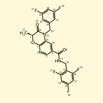 C[C@@H]1Oc2ncc(C(=O)NCc3c(F)cc(F)cc3F)cc2N(Cc2cc(F)cc(F)c2)C1=O